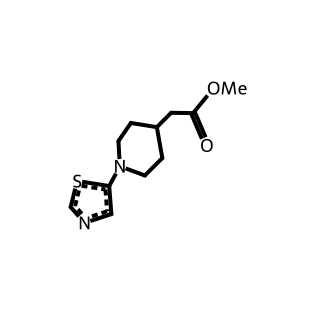 COC(=O)CC1CCN(c2cncs2)CC1